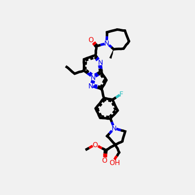 CCc1cc(C(=O)N2CCCCC[C@H]2C)nc2cc(-c3ccc(N4CCC(CO)(C(=O)OC)C4)cc3F)nn12